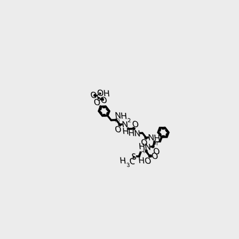 CSCC[C@H](NC(=O)[C@H](Cc1ccccc1)NC(=O)CNC(=O)CNC(=O)[C@@H](N)Cc1ccc(OS(=O)(=O)O)cc1)C(=O)O